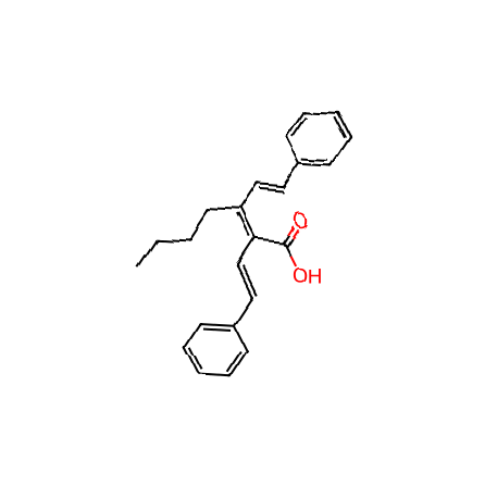 CCCCC(C=Cc1ccccc1)=C(C=Cc1ccccc1)C(=O)O